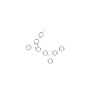 CC(C)(C)CC(c1ccc(-c2ccc3c(c2)c2cc(-c4ccc(N(c5ccccc5)c5ccc(-c6ccccc6)cc5)cc4)ccc2n3-c2ccccc2)cc1)C(C)(C)C